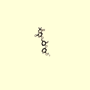 CC1(C)Cn2c(cc(OCc3ccc(Oc4ccnc(C(F)(F)F)c4)c(F)c3)nc2=O)N1